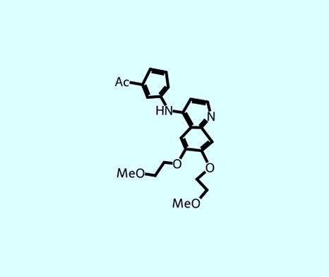 COCCOc1cc2nccc(Nc3cccc(C(C)=O)c3)c2cc1OCCOC